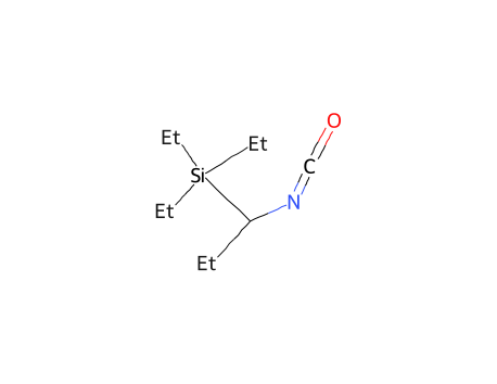 CCC(N=C=O)[Si](CC)(CC)CC